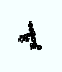 Nc1c(Br)cc(C[C@@H](NC(=O)N2CCC(n3cc(-c4ccccc4)[nH]c3=O)CC2)C(=O)N2CCN(c3ccc(F)cc3)CC2)cc1Br